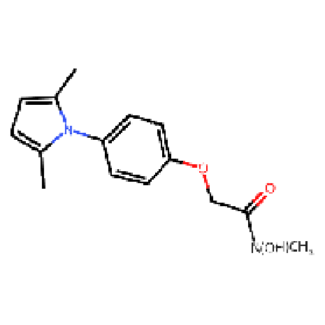 Cc1ccc(C)n1-c1ccc(OCC(=O)N(C)O)cc1